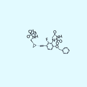 CS(=O)(=O)NC[C@@H]1C[C@H]1C#Cc1ccc(OCc2ccccc2)c(N2CC(=O)NS2(=O)=O)c1F